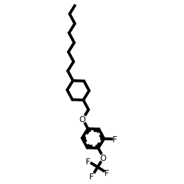 CCCCCCCCC1CCC(COc2ccc(OC(F)(F)F)c(F)c2)CC1